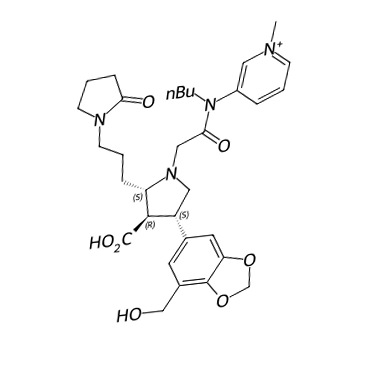 CCCCN(C(=O)CN1C[C@H](c2cc(CO)c3c(c2)OCO3)[C@@H](C(=O)O)[C@@H]1CCCN1CCCC1=O)c1ccc[n+](C)c1